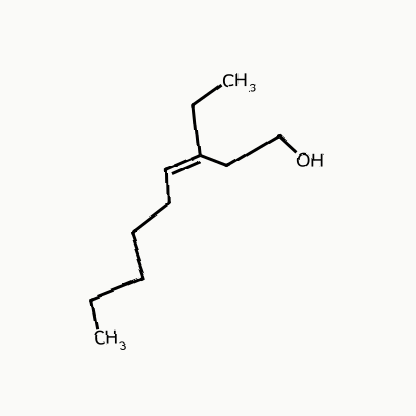 CCCCCC=C(CC)CCO